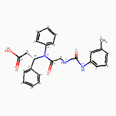 Cc1cccc(NC(=O)NCC(=O)N(c2ccccc2)[C@@H](CC(=O)O)c2ccccc2)c1